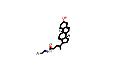 CC(C)CCNC(=O)CCC(C)C1CC[C@H]2C3CC=C4C[C@@H](O)CC[C@]4(C)[C@H]3CC[C@]12C